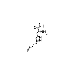 CNC(=O)C(N)Cc1cn(CCCSF)nn1